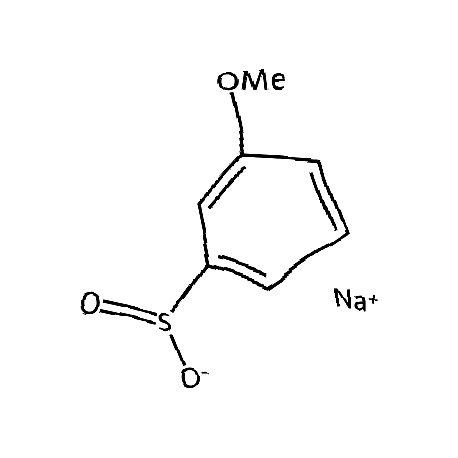 COc1cccc(S(=O)[O-])c1.[Na+]